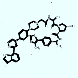 Cc1ncsc1-c1ccc(C(C)NC(=O)[C@@H]2C[C@@H](O)CN2C(=O)C(NC(=O)CN2CCN(c3ccc(-c4cnnc(-c5cccc6cc[nH]c56)c4)cc3)CC2)C(C)(C)C)cc1